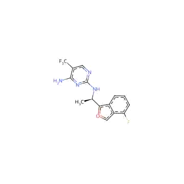 C[C@@H](Nc1ncc(C(F)(F)F)c(N)n1)c1occ2c(F)cccc12